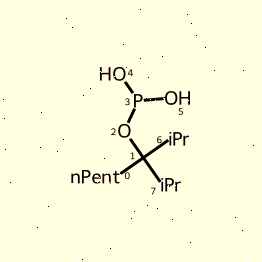 CCCCCC(OP(O)O)(C(C)C)C(C)C